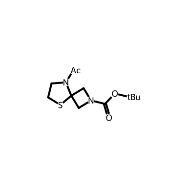 CC(=O)N1CCSC12CN(C(=O)OC(C)(C)C)C2